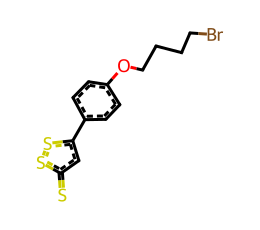 S=c1cc(-c2ccc(OCCCCBr)cc2)ss1